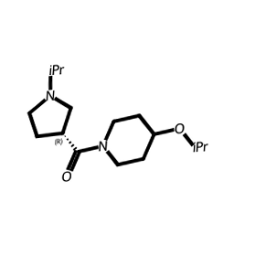 CC(C)OC1CCN(C(=O)[C@@H]2CCN(C(C)C)C2)CC1